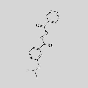 CC(C)Cc1cccc(C(=O)OOC(=O)c2ccccc2)c1